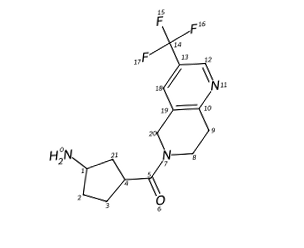 NC1CCC(C(=O)N2CCc3ncc(C(F)(F)F)cc3C2)C1